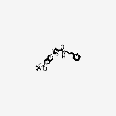 CC(C)(C)OC(=O)N1CC2=C(C1)CN(c1ncc(C(=O)NCCCc3ccccc3)s1)C2